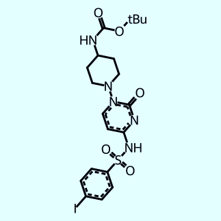 CC(C)(C)OC(=O)NC1CCN(n2ccc(NS(=O)(=O)c3ccc(I)cc3)nc2=O)CC1